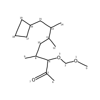 COCOC(C(C)=O)C(C)CC(C)C(C)CC1CCC1